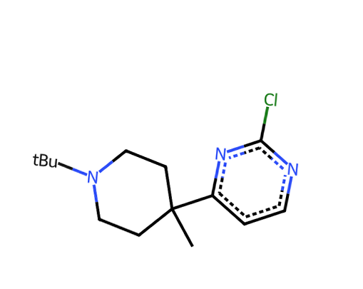 CC1(c2ccnc(Cl)n2)CCN(C(C)(C)C)CC1